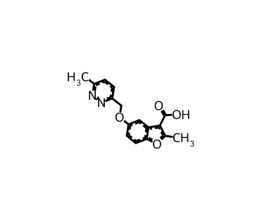 Cc1ccc(COc2ccc3oc(C)c(C(=O)O)c3c2)nn1